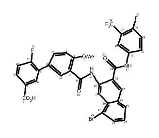 COc1ccc(-c2cc(C(=O)O)ccc2F)cc1C(=O)Nc1cc2c(Br)cccc2cc1C(=O)Nc1ccc(F)c(C(F)(F)F)c1